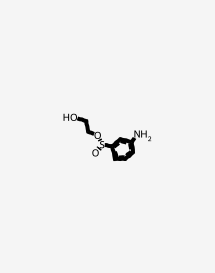 Nc1cccc(S(=O)OCCO)c1